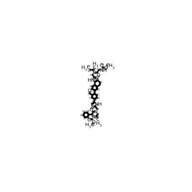 CCCN(Cc1ncc(-c2ccc3c(c2)COc2cc4c(cc2-3)CCc2nc(CN(C(=O)CNC(=O)OC)[C@@H](C)CC)[nH]c2-4)[nH]1)C(=O)[C@H](NC(=O)OC)c1ccccc1